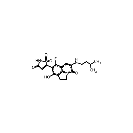 CC(C)CCNc1cc2c(F)c(C3=CC(=O)NS3(=O)=O)c(O)c3c2n(c1=O)CC3